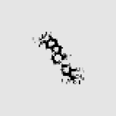 CCc1cc2cc3n(c2cc1S(C)(=O)=O)CCN(c1ncc(C(C)(C)O)c(C)n1)C3C(C)C